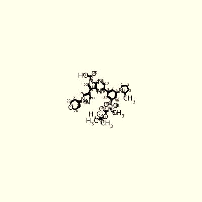 CC1CCCN1c1cc(-c2cnc3c(n2)c(-c2cnn(C4CCOCC4)c2)cn3C(=O)O)cc(S(=O)(=O)N(C)C(=O)OC(C)(C)C)c1